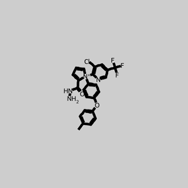 Cc1ccc(Oc2ccc([N+]3(c4ncc(C(F)(F)F)cc4Cl)C=CC=C3C(=O)NN)cc2)cc1